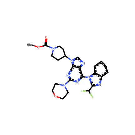 CC(C)(C)OC(=O)N1CCC(n2cnc3c(-n4c(C(F)F)nc5ccccc54)nc(N4CCOCC4)nc32)CC1